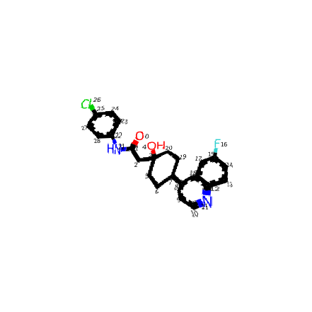 O=C(CC1(O)CCC(c2ccnc3ccc(F)cc23)CC1)Nc1ccc(Cl)cc1